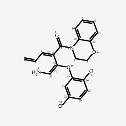 C=C/C=C(C(=O)N1CCOc2ccccc21)\C(=C/N)Oc1cc(Cl)ccc1Cl